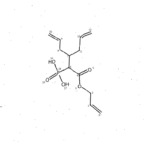 C=CCOC(=O)C(C(CC=C)CC=C)P(=O)(O)O